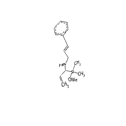 C=CC(NCC=Cc1ccccc1)[Si](C)(C)OC